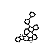 c1ccc(-c2cccc(-c3c4ccccc4c(-c4cccc5oc6cc7c(cc6c45)oc4ccccc47)c4ccccc34)c2)cc1